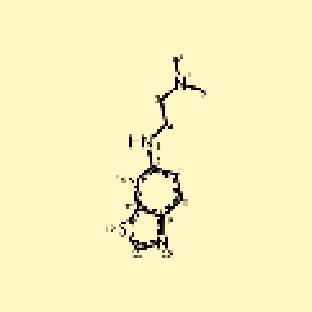 CN(C)CCNc1ccc2n[c]sc2n1